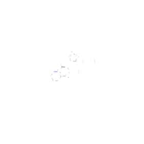 CC(O)c1ccn2c(=O)c(-c3cnn(CC(F)(F)C(F)(F)F)c3)c(C(F)(F)F)nc2c1